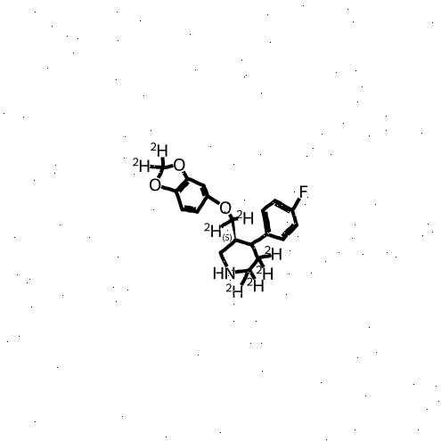 [2H]C1([2H])Oc2ccc(OC([2H])([2H])[C@@H]3CNC([2H])([2H])C([2H])([2H])C3c3ccc(F)cc3)cc2O1